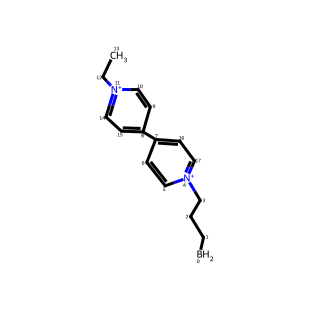 BCCC[n+]1ccc(-c2cc[n+](CC)cc2)cc1